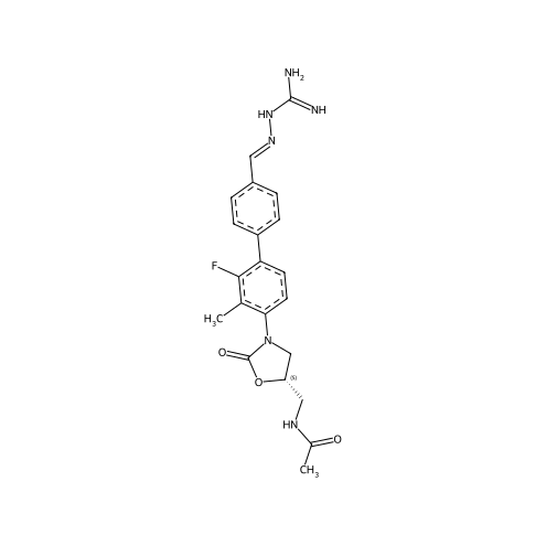 CC(=O)NC[C@H]1CN(c2ccc(-c3ccc(C=NNC(=N)N)cc3)c(F)c2C)C(=O)O1